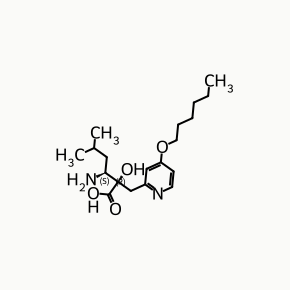 CCCCCCOc1ccnc(C[C@](O)(C(=O)O)[C@@H](N)CC(C)C)c1